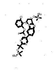 CC(C)(O[Si](C)(C)C(C)(C)C)c1ncc(-c2ccc3nc4n(c3c2)[C@@H](c2c(Cl)cccc2OC(F)F)C[C@@H]4O[Si](C)(C)C(C)(C)C)cn1